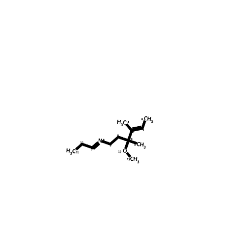 C/C=C(\C)C(C)(CC/N=C/CC)OC